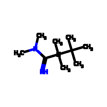 CN(C)C(=N)[Si](C)(C)C(C)(C)C